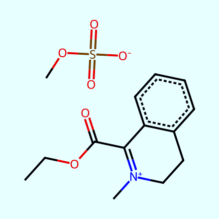 CCOC(=O)C1=[N+](C)CCc2ccccc21.COS(=O)(=O)[O-]